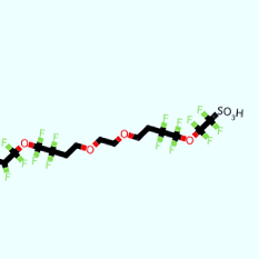 O=S(=O)(O)C(F)(F)C(F)(F)OC(F)(F)C(F)(F)CCOCCOCCC(F)(F)C(F)(F)OC(F)(F)C(F)F